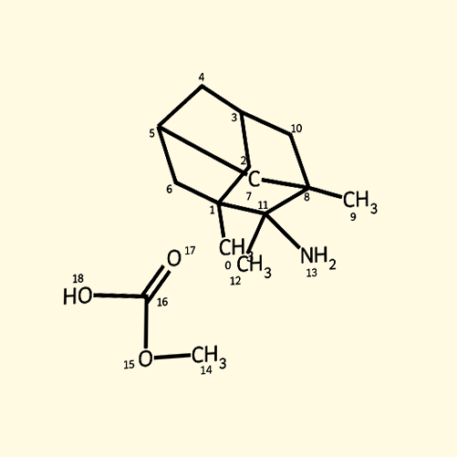 CC12CC3CC(C1)CC(C)(C3)C2(C)N.COC(=O)O